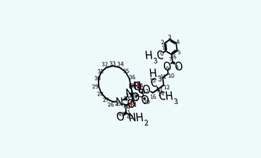 Cc1ccccc1C(=O)OCCCC(C)(C)COS(=O)(=O)ON1C(=O)N2CCCCCCCCCCC[C@@H]1CC[C@H]2C(N)=O